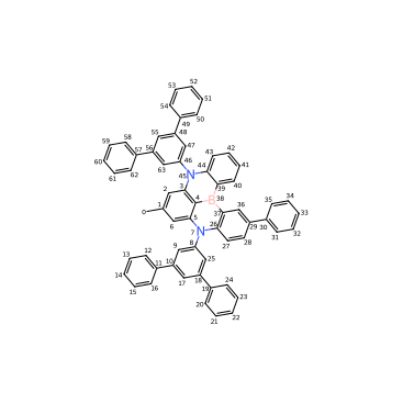 Cc1cc2c3c(c1)N(c1cc(-c4ccccc4)cc(-c4ccccc4)c1)c1ccc(-c4ccccc4)cc1B3c1ccccc1N2c1cc(-c2ccccc2)cc(-c2ccccc2)c1